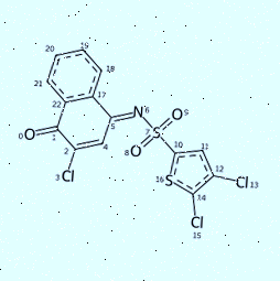 O=C1C(Cl)=CC(=NS(=O)(=O)c2cc(Cl)c(Cl)s2)c2ccccc21